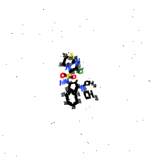 CN(C)C1CC(NS(=O)(=O)c2c(Cl)nc3n2CCS3)c2ccccc21